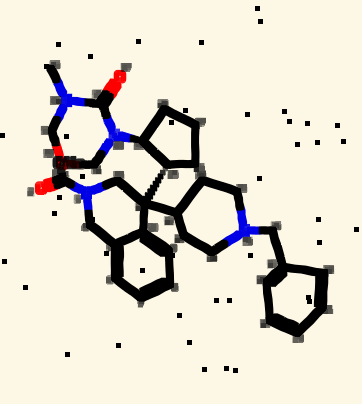 COC(=O)N1Cc2ccccc2C(C2CCN(Cc3ccccc3)CC2)([C@H]2CCC[C@@H]2N2COCN(C)C2=O)C1